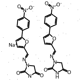 O=C1CN(N=Cc2ccc(-c3ccc([N+](=O)[O-])cc3)o2)C(=O)N1.O=C1CN(N=Cc2ccc(-c3ccc([N+](=O)[O-])cc3)o2)C(=O)[N-]1.[Na+]